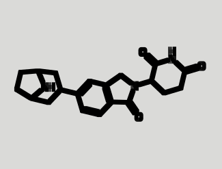 O=C1CCC(N2Cc3cc(C4CC5CCC(C4)N5)ccc3C2=O)C(=O)N1